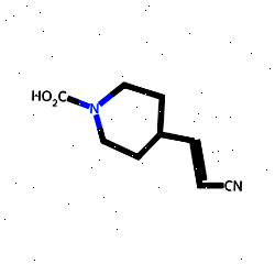 N#CC=CC1CCN(C(=O)O)CC1